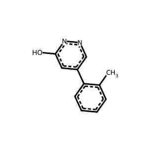 Cc1ccccc1-c1cnnc(O)c1